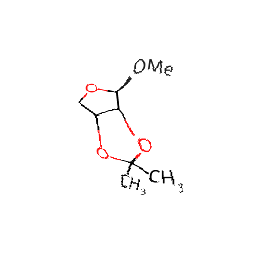 CO[C@@H]1OCC2OC(C)(C)OC21